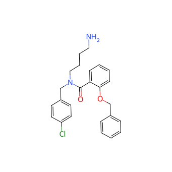 NCCCCN(Cc1ccc(Cl)cc1)C(=O)c1ccccc1OCc1ccccc1